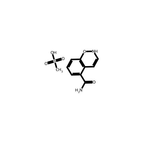 CS(=O)(=O)O.NC(=O)c1cccc2c1C=CNO2